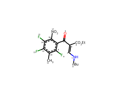 CCCCNC=C(C(=O)OCC)C(=O)c1c(F)c(C)c(F)c(F)c1[N+](=O)[O-]